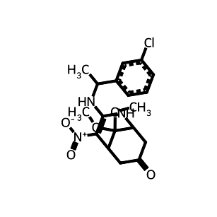 COC1(OC)C2CC(=O)CC1C([N+](=O)[O-])=C(NC(C)c1cccc(Cl)c1)N2